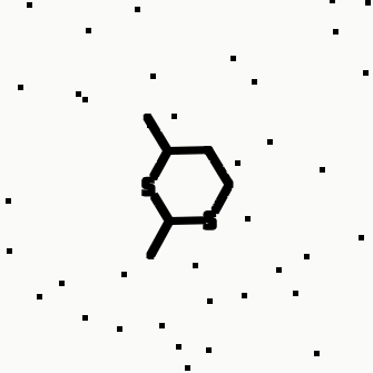 CC1CCSC(C)S1